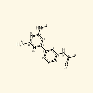 CNc1cc(-c2cccc(NC(C)=O)c2)nc(N)n1